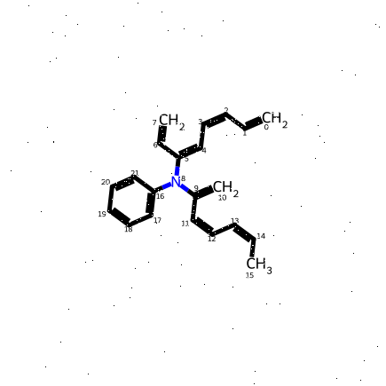 C=C/C=C\C=C(/C=C)N(C(=C)/C=C\C=C/C)c1ccccc1